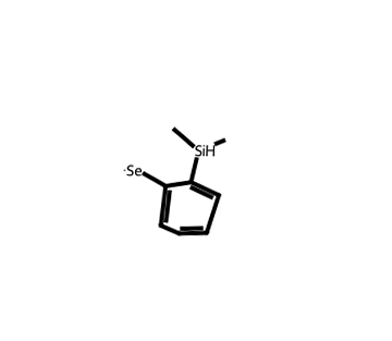 C[SiH](C)c1ccccc1[Se]